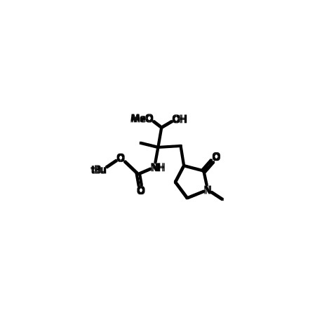 COC(O)C(C)(CC1CCN(C)C1=O)NC(=O)OC(C)(C)C